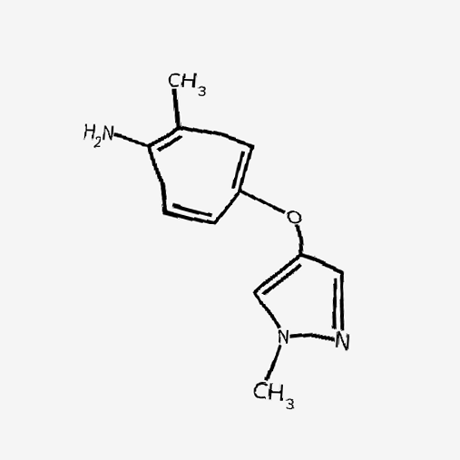 Cc1cc(Oc2cnn(C)c2)ccc1N